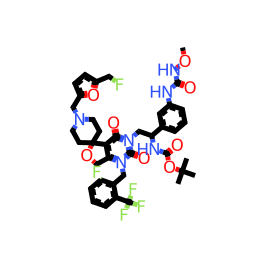 CONC(=O)Nc1cccc(C(Cn2c(=O)c3c(n(Cc4c(F)cccc4C(F)(F)F)c2=O)COC32CCN(Cc3ccc(CF)o3)CC2)NC(=O)OC(C)(C)C)c1